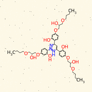 CCCCOCC(O)COc1ccc(C2=CC(c3ccc(OCC(O)COCCCC)cc3O)=NN(c3ccc(OCC(O)COCCCC)cc3O)N2)c(O)c1